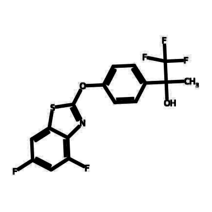 CC(O)(c1ccc(Oc2nc3c(F)cc(F)cc3s2)cc1)C(F)(F)F